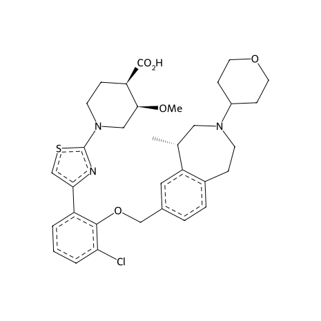 CO[C@H]1CN(c2nc(-c3cccc(Cl)c3OCc3ccc4c(c3)[C@H](C)CN(C3CCOCC3)CC4)cs2)CC[C@H]1C(=O)O